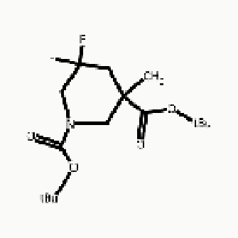 CC(C)(C)OC(=O)N1CC(F)(F)CC(C)(C(=O)OC(C)(C)C)C1